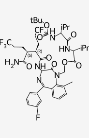 Cc1cccc2c1N(COC(=O)C(NC(=O)C(NC(=O)OC(C)(C)C)C(C)C)C(C)C)C(=O)C(NC(=O)[C@H](CCC(F)(F)F)[C@H](CCC(F)(F)F)C(N)=O)N=C2c1cccc(F)c1